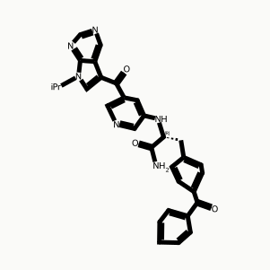 CC(C)n1cc(C(=O)c2cncc(N[C@H](Cc3ccc(C(=O)c4ccccc4)cc3)C(N)=O)c2)c2cncnc21